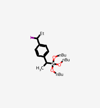 CCCCO[Si](OCCCC)(OCCCC)C(C)c1ccc(C(I)CC)cc1